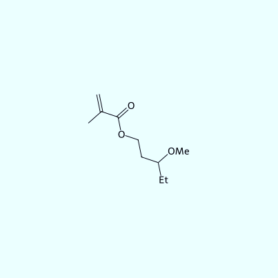 C=C(C)C(=O)OCCC(CC)OC